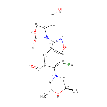 C[C@@H]1CN(c2c(C=O)cc3c(N4C(=O)OCC4CCO)noc3c2F)C[C@@H](C)O1